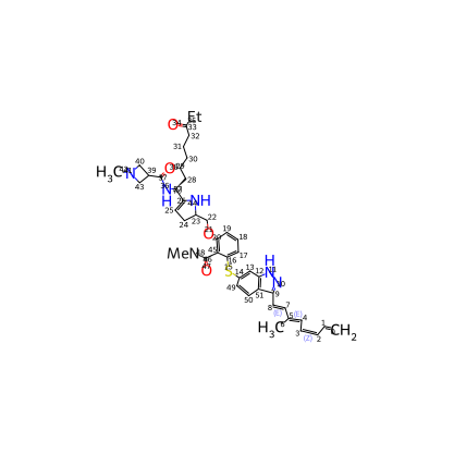 C=C\C=C/C=C(C)/C=C/c1n[nH]c2cc(Sc3cccc(OCC4CC=C([C@H](CCCCCC(=O)CC)NC(=O)C5CN(C)C5)N4)c3C(=O)NC)ccc12